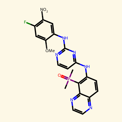 COc1cc(F)c([N+](=O)[O-])cc1Nc1nccc(Nc2ccc3nccnc3c2P(C)(C)=O)n1